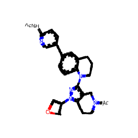 CC(=O)Nc1ccc(-c2ccc3c(c2)CCCN3c2nn(C3COC3)c3c2CN(C(C)=O)CC3)cn1